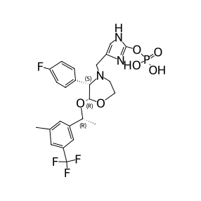 Cc1cc([C@@H](C)O[C@H]2OCCN(Cc3c[nH]c(OP(=O)(O)O)n3)[C@H]2c2ccc(F)cc2)cc(C(F)(F)F)c1